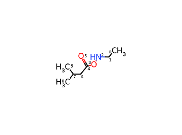 CCNOC(=O)CC(C)C